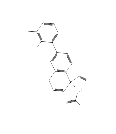 O=C[C@]1(NC(=O)O)C=CCc2cc(-c3cccc(F)c3F)ccc21